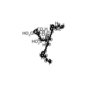 N#C[C@@H]1CC(F)(F)CN1C(=O)CNC(=O)c1ccnc2ccc(OCCCCNC(=O)[C@H](CCC(=O)NCCCCOc3ccc4nccc(C(=O)NCC(=O)N5CCC(F)(F)C5)c4c3)NC(=O)CCC(NC(=O)CCCCC3(N(CC(=O)O)CC(=O)O)CN(CC(=O)O)CCN(CC(=O)O)C3)C(=O)O)cc12